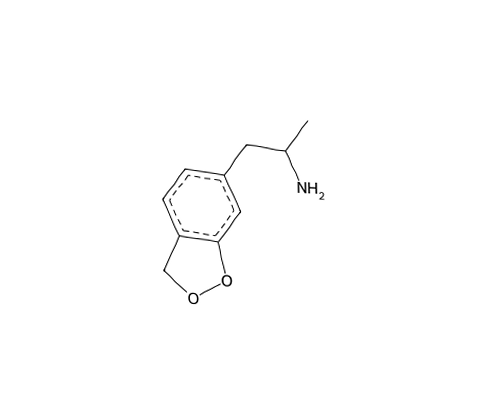 CC(N)Cc1ccc2c(c1)OOC2